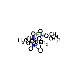 C=C1C=C2C=CC=CC=C2CC2=C1B1c3ccc(N(c4ccc(C(C)(C)C)cc4)c4ccccc4F)cc3N(c3ccccc3)c3cc([Si](C)(C)C)cc(c31)N2c1ccccc1